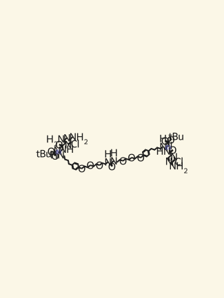 CC(C)(C)OC(=O)/N=C(\NCCCCc1ccc(OCCOCCOCCNC(=O)NCCOCCOCCOc2ccc(CCCCN/C(=N\C(=O)OC(C)(C)C)NC(=O)c3nc(Cl)c(N)nc3N)cc2)cc1)NC(=O)c1cnc(N)c(Cl)n1